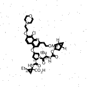 CC[C@@H]1C[C@]1(NC(=O)[C@@H]1CC(Oc2cc(CCOC)nc3c(Cl)c(OCCN4CCOCC4)ccc23)CN1C(=O)[C@@H](NC(=O)O[C@@H]1C[C@@H]2C[C@@H]2C1)C(C)(C)C)C(=O)O